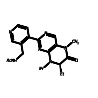 CC[C@@H]1C(=O)N(C)c2cnc(-c3ccncc3CNC(C)=O)nc2N1C(C)C